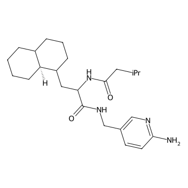 CC(C)CC(=O)NC(CC1CCCC2CCCC[C@@H]21)C(=O)NCc1ccc(N)nc1